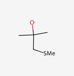 CSCC(C)(C)[O]